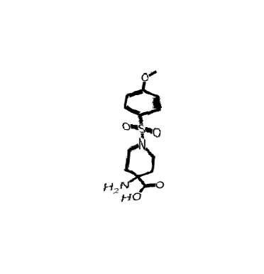 COc1ccc(S(=O)(=O)N2CCC(N)(C(=O)O)CC2)cc1